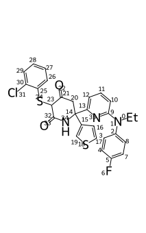 CCN(c1ccc(F)cc1)c1cccc(C2(c3ccsc3)CC(=O)C(Sc3ccccc3Cl)C(=O)N2)n1